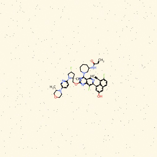 C#Cc1c(F)ccc2cc(O)cc(-c3ncc4c(N5CCCCC(NC(=O)C=C)C5)nc(OC[C@]5(C)C[C@@H](F)CN5c5ccc(N6CCOC[C@@H]6C)cn5)nc4c3F)c12